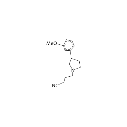 COc1cccc(C2CCN(CCCC#N)C2)c1